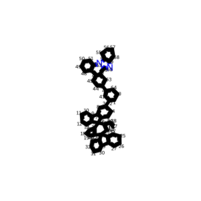 c1cc(-c2ccc3c(c2)-c2ccccc2C32c3ccccc3C3(c4ccccc4-c4ccccc43)c3ccccc32)cc(-c2ccc3c4ccccc4n4c5ccccc5nc4c3c2)c1